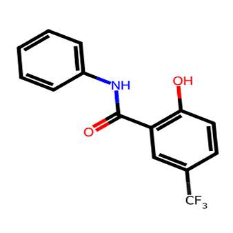 O=C(Nc1ccccc1)c1cc(C(F)(F)F)ccc1O